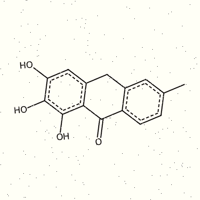 Cc1ccc2c(c1)Cc1cc(O)c(O)c(O)c1C2=O